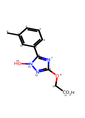 Cc1cccc(-c2nc(OCC(=O)O)nn2O)c1